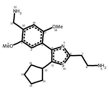 COc1cc(-c2nc(CCN)sc2C2CCCC2)c(OC)cc1CN